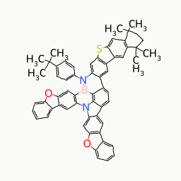 CC(C)(C)c1ccc(N2B3c4cc5oc6ccccc6c5cc4-n4c5cc6oc7ccccc7c6cc5c5ccc(c3c54)-c3cc4c(cc32)sc2cc3c(cc24)C(C)(C)CCC3(C)C)cc1